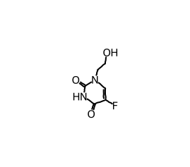 O=c1[nH]c(=O)n(CCO)cc1F